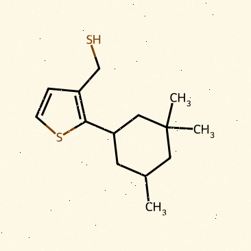 CC1CC(c2sccc2CS)CC(C)(C)C1